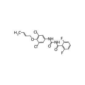 CC=CCOc1c(Cl)cc(NC(=O)NC(=O)c2c(F)cccc2F)cc1Cl